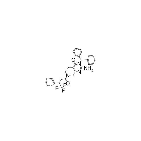 Nc1nc2c(c(=O)n1C(c1ccccc1)c1ccccc1)CCN(C(=O)CC(c1ccccc1)C(F)(F)F)C2